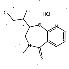 CC(CCl)C1CN(C)C(=S)c2cccnc2O1.Cl